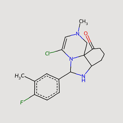 Cc1cc(C2NC3CCCC(=O)C34CN(C)C=C(Cl)N24)ccc1F